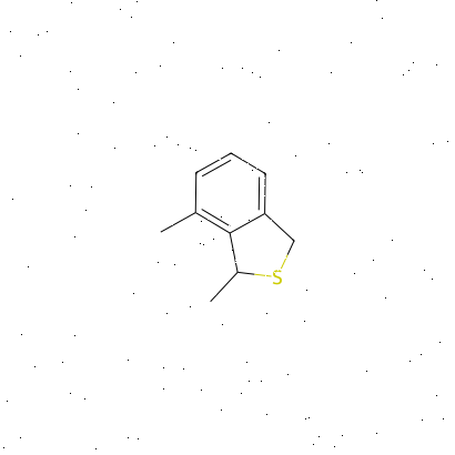 Cc1cccc2c1C(C)SC2